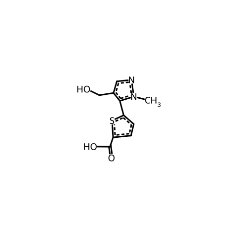 Cn1ncc(CO)c1-c1ccc(C(=O)O)s1